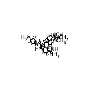 CC(C)(C)S(=O)(=O)c1cccc2c(Cn3c(C(=O)N[C@H]4CC[C@H](N)CC4)cc4ccc(C(=N)N)cc43)cccc12